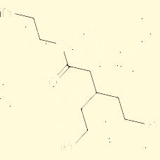 CC(C)CCOC(=O)CC(CCC(C)C)CCC(C)C